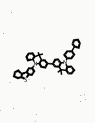 CC1(C)c2ccccc2N(c2ccc(-c3ccccc3)cc2)c2ccc(-c3ccc4c(c3)C(C)(C)c3ccccc3N4c3ccc4sc5ccccc5c4c3)cc21